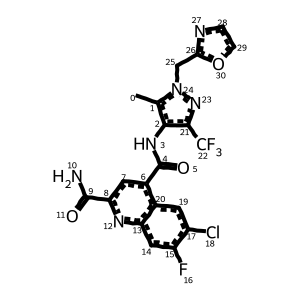 Cc1c(NC(=O)c2cc(C(N)=O)nc3cc(F)c(Cl)cc23)c(C(F)(F)F)nn1Cc1ncco1